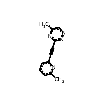 Cc1cccc(C#Cc2nncc(C)n2)n1